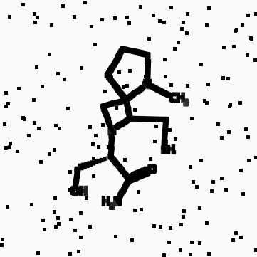 CN1CCCC12CN([C@@H](CO)C(N)=O)C2CS